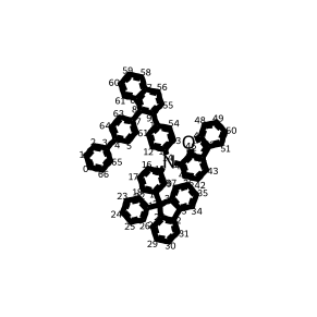 c1ccc(-c2ccc(-c3c(-c4ccc(N(c5cccc(C6(c7ccccc7)c7ccccc7-c7ccccc76)c5)c5cccc6c5oc5ccccc56)cc4)ccc4ccccc34)cc2)cc1